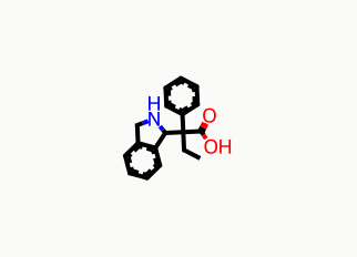 CCC(C(=O)O)(c1ccccc1)C1NCc2ccccc21